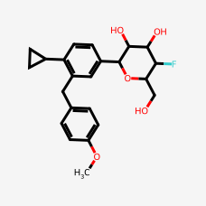 COc1ccc(Cc2cc(C3OC(CO)C(F)C(O)C3O)ccc2C2CC2)cc1